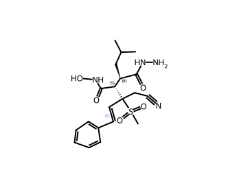 CC(C)C[C@@H](C(=O)NN)[C@@H](C(=O)NO)C(/C=C/c1ccccc1)(CC#N)S(C)(=O)=O